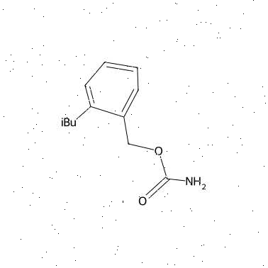 CCC(C)c1ccccc1COC(N)=O